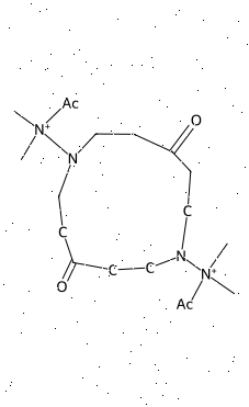 CC(=O)[N+](C)(C)N1CCC(=O)CCN([N+](C)(C)C(C)=O)CCC(=O)CC1